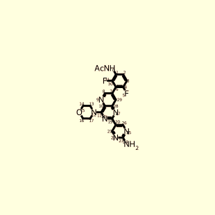 CC(=O)Nc1ccc(F)c(-c2cnc3c(N4CCOCC4)nc(-c4cnc(N)nc4)nc3c2)c1F